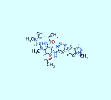 C=CC(=O)Nc1cc(Nc2cc(-c3ccc4c(cnn4C)c3)ncn2)c(OCC)cc1N(C)CCN(C)CC